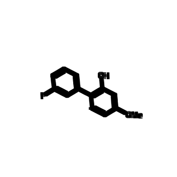 COc1c[c]c(-c2cccc(F)c2)c(O)c1